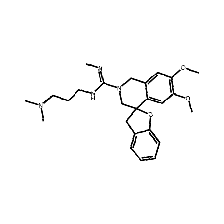 C/N=C(\NCCCN(C)C)N1Cc2cc(OC)c(OC)cc2C2(Cc3ccccc3O2)C1